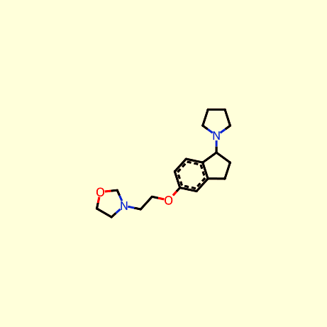 c1cc2c(cc1OCCN1CCOC1)CCC2N1CCCC1